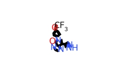 O=c1c2nccnc2c(-c2cn[nH]c2)cn1-c1ccc(OC(F)(F)F)cc1